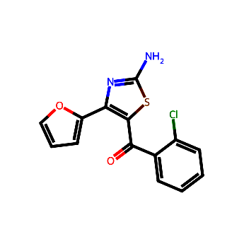 Nc1nc(-c2ccco2)c(C(=O)c2ccccc2Cl)s1